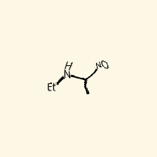 CCNC(C)N=O